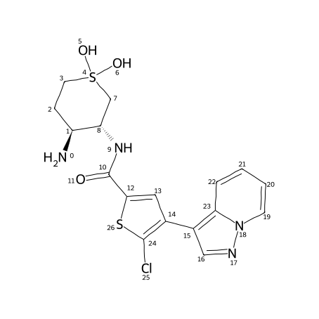 N[C@H]1CCS(O)(O)C[C@@H]1NC(=O)c1cc(-c2cnn3ccccc23)c(Cl)s1